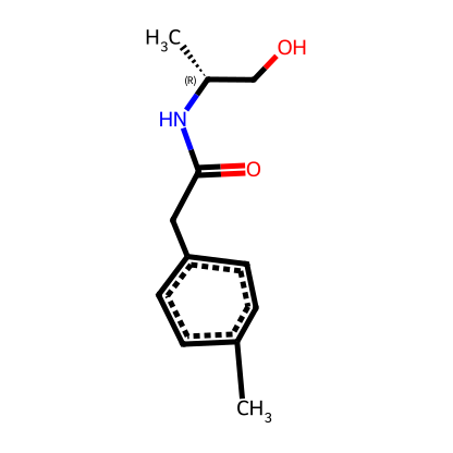 Cc1ccc(CC(=O)N[C@H](C)CO)cc1